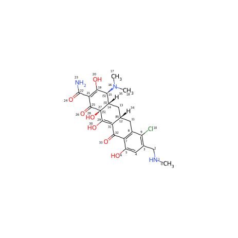 CNCc1cc(O)c2c(c1Cl)C[C@H]1C[C@H]3[C@H](N(C)C)C(O)=C(C(N)=O)C(=O)[C@@]3(O)C(O)=C1C2=O